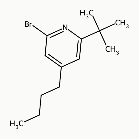 CCCCc1cc(Br)nc(C(C)(C)C)c1